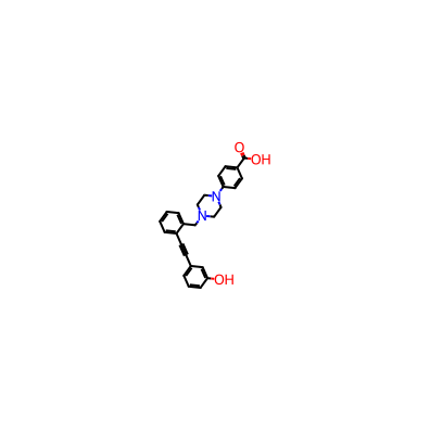 O=C(O)c1ccc(N2CCN(Cc3ccccc3C#Cc3cccc(O)c3)CC2)cc1